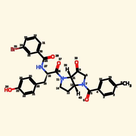 Cc1ccc(C(=O)N2CC(=O)[C@@H]3[C@H]2CCN3C(=O)[C@H](Cc2ccc(O)cc2)NC(=O)c2cccc(Br)c2)cc1